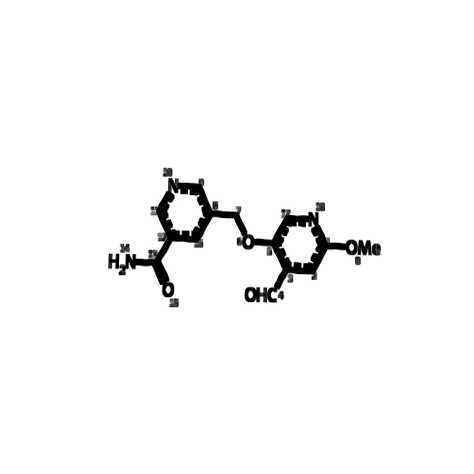 COc1cc(C=O)c(OCc2cncc(C(N)=O)c2)cn1